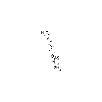 CCCCCCCCOC(=S)NCC